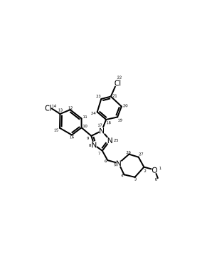 COC1CCN(Cc2nc(-c3ccc(Cl)cc3)n(-c3ccc(Cl)cc3)n2)CC1